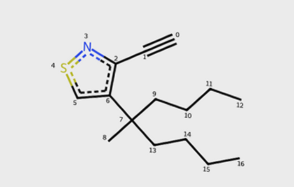 C#Cc1nscc1C(C)(CCCC)CCCC